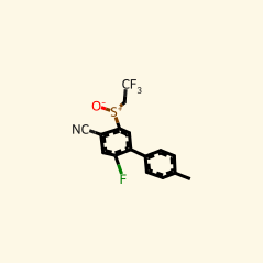 Cc1ccc(-c2cc([S+]([O-])CC(F)(F)F)c(C#N)cc2F)cc1